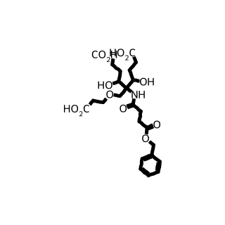 O=C(O)CCOCC(NC(=O)CCC(=O)OCc1ccccc1)(C(O)CCC(=O)O)C(O)CCC(=O)O